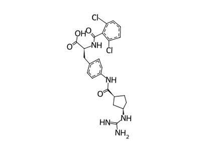 N=C(N)N[C@@H]1CC[C@H](C(=O)Nc2ccc(C[C@H](NC(=O)c3c(Cl)cccc3Cl)C(=O)O)cc2)C1